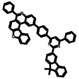 CC1(C)c2ccccc2-c2cc(-c3nc(-c4ccccc4)cc(-c4ccc(-c5ccc6nc(-c7ccccc7)c7ccc8oc9ccccc9c8c7c6c5)cc4)n3)ccc21